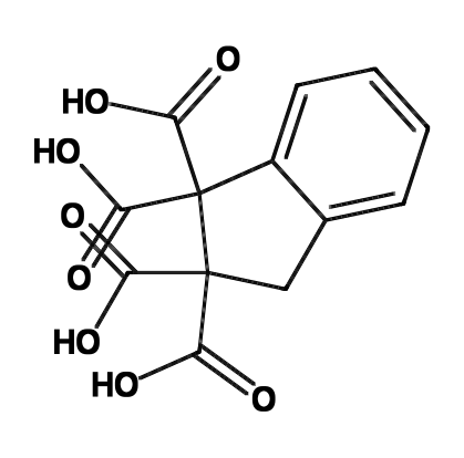 O=C(O)C1(C(=O)O)Cc2ccccc2C1(C(=O)O)C(=O)O